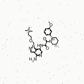 COc1cccc([C@H]2CC[C@H](C)CN2C(=O)C(=O)Nc2cnc(N)c3cnn(COCC[Si](C)(C)C)c23)c1